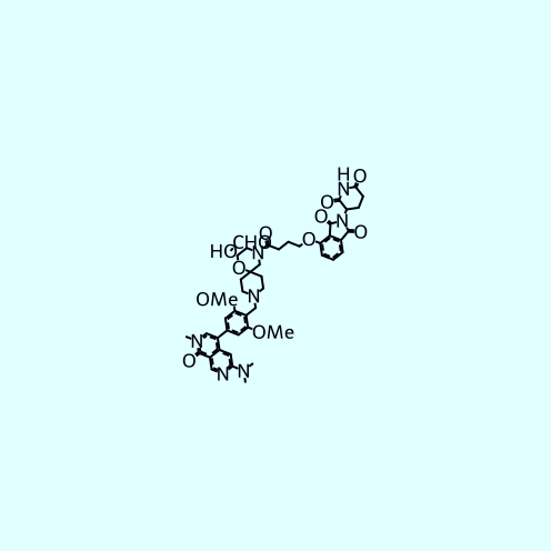 COc1cc(-c2cn(C)c(=O)c3cnc(N(C)C)cc23)cc(OC)c1CN1CCC2(CC1)CN(C(=O)CCCOc1cccc3c1C(=O)N(C1CCC(=O)NC1=O)C3=O)CCO2.O=CO